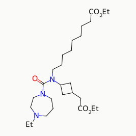 CCOC(=O)CCCCCCCCN(C(=O)N1CCCN(CC)CC1)C1CC(CC(=O)OCC)C1